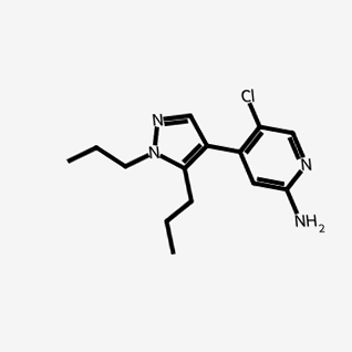 CCCc1c(-c2cc(N)ncc2Cl)cnn1CCC